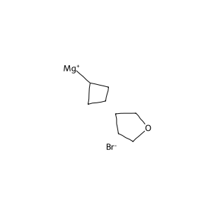 C1CCOC1.[Br-].[Mg+][CH]1CCC1